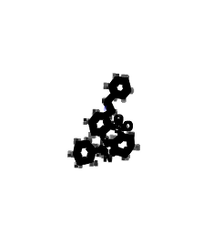 O=S1(=O)c2c(/C=C/c3ccccc3)cccc2-n2c(-c3ccccc3)nc3cccc1c32